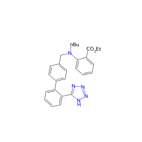 CCCCN(Cc1ccc(-c2ccccc2-c2nnn[nH]2)cc1)c1ccccc1C(=O)OCC